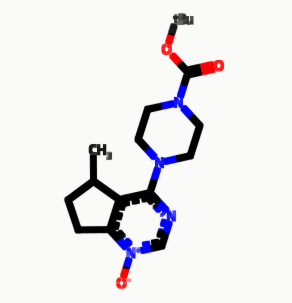 CC1CCc2c1c(N1CCN(C(=O)OC(C)(C)C)CC1)nc[n+]2[O-]